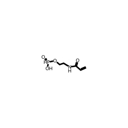 C=CC(=O)NCCO[PH](=O)O